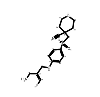 N#CC1(CS(=O)(=O)c2ccc(OCC(=CF)CN)cc2)CCOCC1